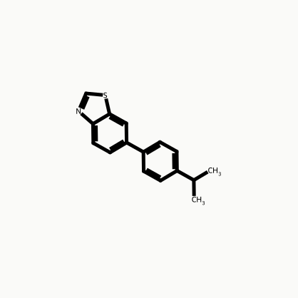 CC(C)c1ccc(-c2ccc3ncsc3c2)cc1